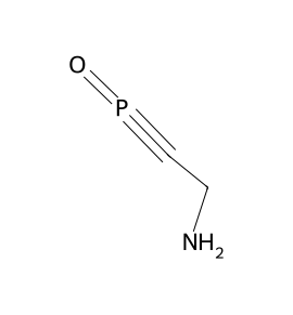 NCC#P=O